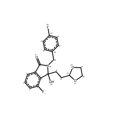 O=C1c2cccc(F)c2C(O)(CCC2OCCO2)N1Cc1ccc(F)cc1